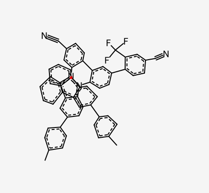 Cc1ccc(-c2ccc3c(c2)c2ccccc2n3-c2ccc(-c3ccc(C#N)cc3C(F)(F)F)cc2-c2ccc(C#N)cc2-n2c3ccccc3c3cc(-c4ccc(C)cc4)ccc32)cc1